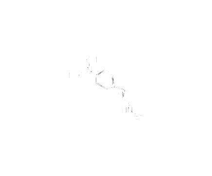 CCNC/C=C/c1ccc(N(C)C)cc1